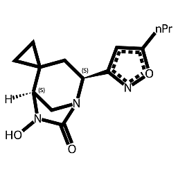 CCCc1cc([C@@H]2CC3(CC3)[C@H]3CN2C(=O)N3O)no1